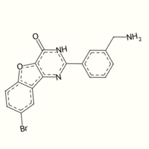 NCc1cccc(-c2nc3c(oc4ccc(Br)cc43)c(=O)[nH]2)c1